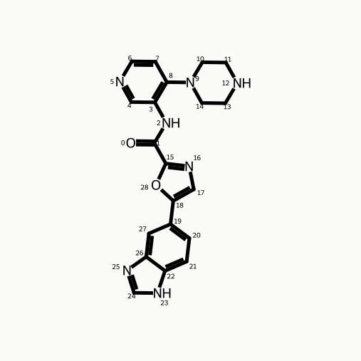 O=C(Nc1cnccc1N1CCNCC1)c1ncc(-c2ccc3[nH]cnc3c2)o1